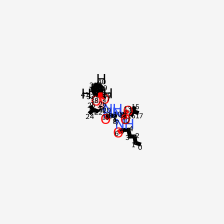 CCCCCC(=O)NC[C@H](NC(=O)OC(C)(C)C)C(=O)N[C@@H](CC(C)C)B1O[C@@H]2C[C@@H]3C[C@@H](C3(C)C)[C@]2(C)O1